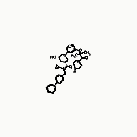 CC(C)(Oc1cccc(N2CCC[C@@H](C(=O)N(Cc3ccc(-c4ccccc4)cc3)C3CC3)C2)c1)C(=O)N1CCNCC1.Cl